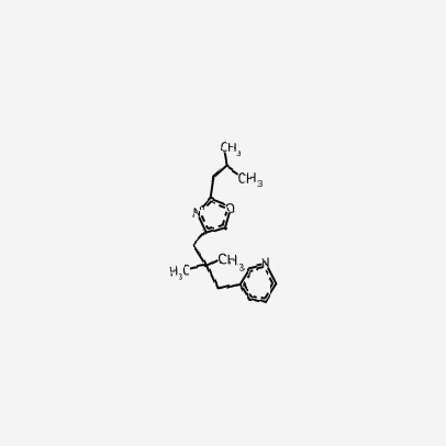 CC(C)Cc1nc(CC(C)(C)Cc2cccnc2)co1